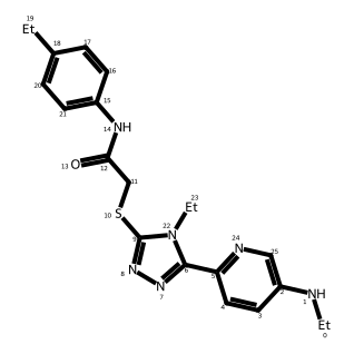 CCNc1ccc(-c2nnc(SCC(=O)Nc3ccc(CC)cc3)n2CC)nc1